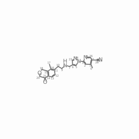 Cc1cc(-n2cc(CNCCc3ccc4c(c3C)COCC4=O)cn2)ncc1C#N